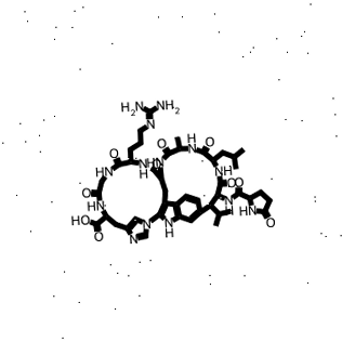 CC(C)CC1NC(=O)C(NC(=O)C2CCC(=O)N2)C(C(C)C)c2ccc3c4c([nH]c3c2)-n2cnc(c2)CC(C(=O)O)NC(=O)CNC(=O)C(CCCN=C(N)N)NC(=O)C(C4)NC(=O)C(C)NC1=O